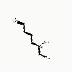 C=CCCC[C@H](O)CCl